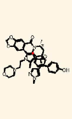 Cc1c(C(=O)N(c2ccc(O)cc2)c2cnn(C)c2)cc(-c2cc3c(cc2C(=O)N2Cc4ccccc4C[C@H]2C)OCO3)n1CCN1CCOCC1